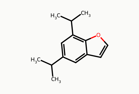 CC(C)c1cc(C(C)C)c2occc2c1